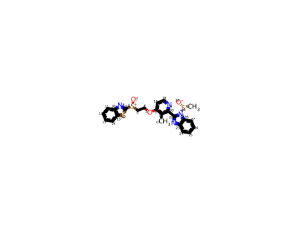 Cc1c(OCC[S+]([O-])c2nc3ccccc3s2)ccnc1-c1nc2ccccc2n1[S+](C)[O-]